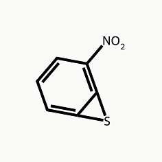 O=[N+]([O-])c1cccc2c1S2